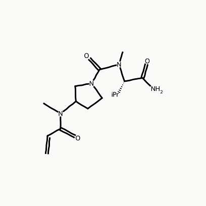 C=CC(=O)N(C)C1CCN(C(=O)N(C)[C@H](C(N)=O)C(C)C)C1